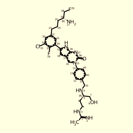 CC(=N)NCC[C@H](CO)NCc1ccc(-n2cc3cc(-c4cc(CCC[C@@H](N)CF)cc(Cl)c4F)[nH]c3nc2=O)cc1